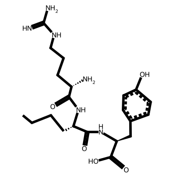 CCCC[C@H](NC(=O)[C@@H](N)CCCNC(=N)N)C(=O)N[C@@H](Cc1ccc(O)cc1)C(=O)O